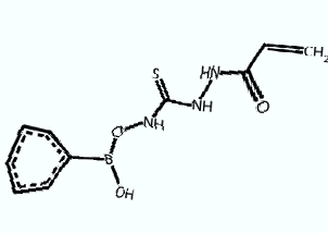 C=CC(=O)NNC(=S)NOB(O)c1ccccc1